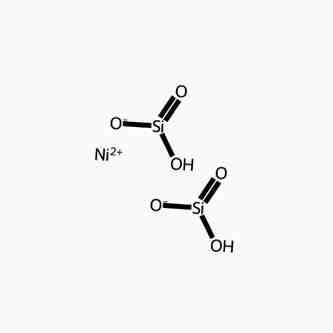 O=[Si]([O-])O.O=[Si]([O-])O.[Ni+2]